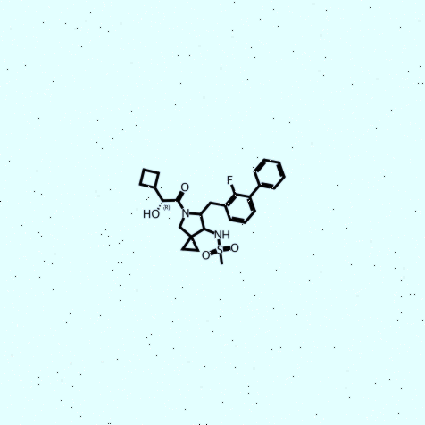 CS(=O)(=O)NC1C(Cc2cccc(-c3ccccc3)c2F)N(C(=O)[C@H](O)C2CCC2)CC12CC2